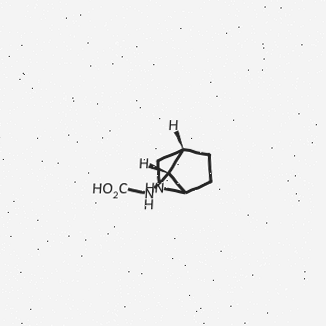 O=C(O)N[C@H]1C2CC[C@H]1CN2